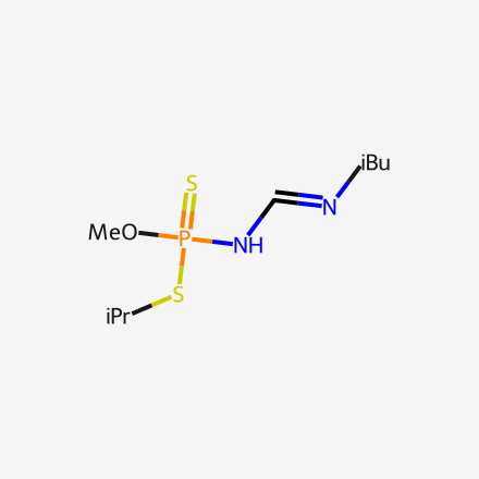 CCC(C)N=CNP(=S)(OC)SC(C)C